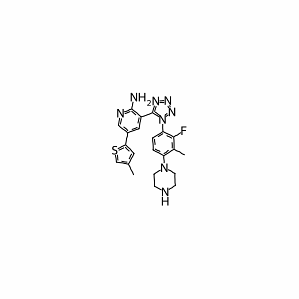 Cc1csc(-c2cnc(N)c(-c3nnnn3-c3ccc(N4CCNCC4)c(C)c3F)c2)c1